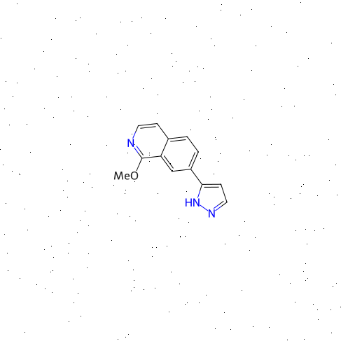 COc1nccc2ccc(-c3ccn[nH]3)cc12